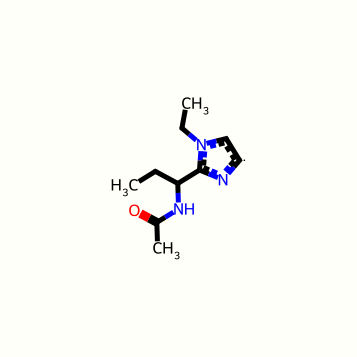 CCC(NC(C)=O)c1n[c]cn1CC